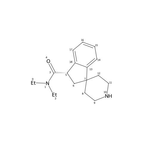 CCN(CC)C(=O)[C@H]1CC2(CCNCC2)c2ccccc21